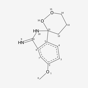 COc1ccc2c(c1)C(=N)NC21CCCOO1